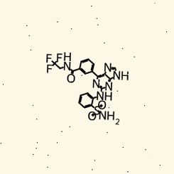 NS(=O)(=O)c1ccccc1Nc1nc(-c2cccc(C(=O)NCC(F)(F)F)c2)c2nc[nH]c2n1